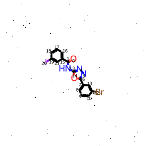 O=C(Nc1nnc(-c2cccc(Br)c2)o1)c1cccc(I)c1